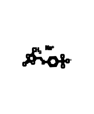 Cc1oc(=O)oc1CSc1ccc(S(=O)(=O)[O-])cc1.[Na+]